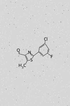 Cc1sc(-c2cc(F)cc(Cl)c2)nc1C=O